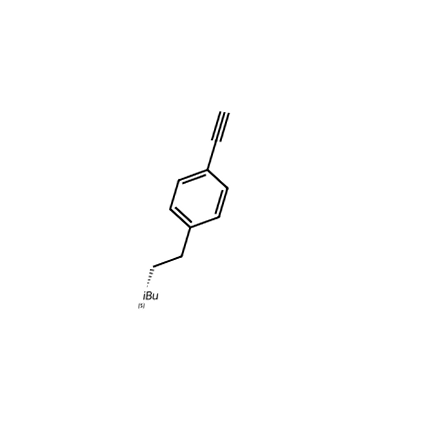 C#Cc1ccc(CC[C@@H](C)CC)cc1